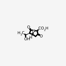 CC(O)[C@H]1C(=O)N2C(C(=O)O)C(=O)C[C@H]12